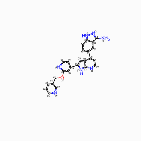 Nc1n[nH]c2ccc(-c3ccnc4[nH]c(-c5ccnc(OCc6cccnc6)c5)cc34)cc12